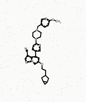 COc1ccc(CN2CCN(c3ccc(-c4cc(OCCC5CC6CC6C5)cn5ncc(C#N)c45)cn3)CC2)cn1